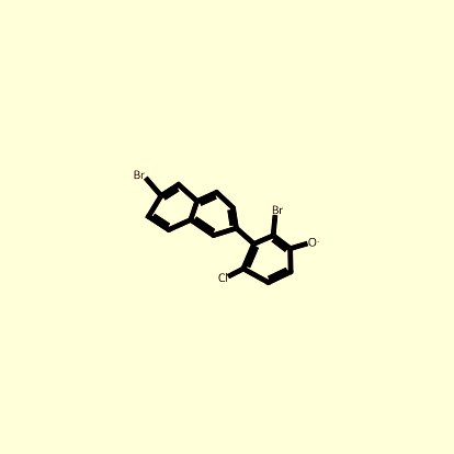 [O]c1ccc(Cl)c(-c2ccc3cc(Br)ccc3c2)c1Br